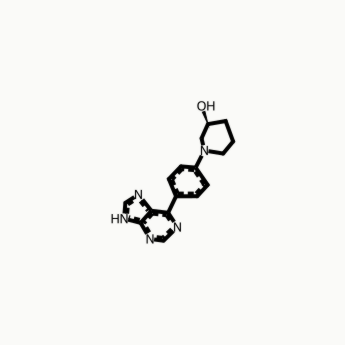 O[C@H]1CCCN(c2ccc(-c3ncnc4[nH]cnc34)cc2)C1